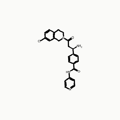 NC(CC(=O)N1CCc2ccc(Cl)cc2C1)c1ccc(C(=O)Nc2ccncc2)cc1